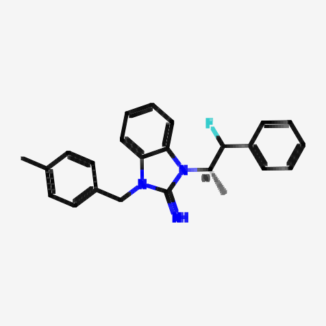 Cc1ccc(Cn2c(=N)n([C@@H](C)C(F)c3ccccc3)c3ccccc32)cc1